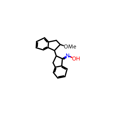 COC1Cc2ccccc2C1C1Cc2ccccc2C1=NO